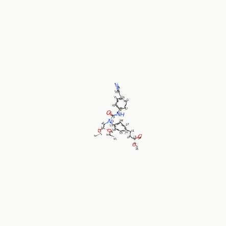 CCOC(CN(C(=O)Nc1ccc(C#N)cc1)c1ccc(CCC(=O)OC)cc1)OCC